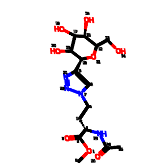 COC(=O)[C@H](CCn1cc([C@@H]2OC(CO)[C@H](O)C(O)C2O)nn1)NC(C)=O